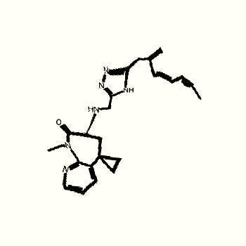 C=C(/C=C\C=C/C)Cc1nnc(CN[C@H]2CC3(CC3)c3cccnc3N(C)C2=O)[nH]1